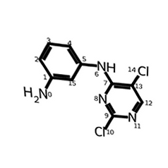 Nc1cccc(Nc2nc(Cl)ncc2Cl)c1